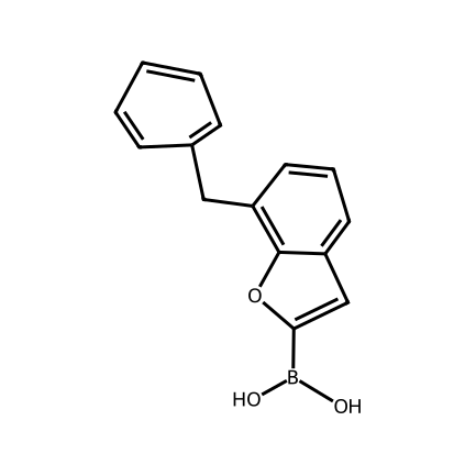 OB(O)c1cc2cccc(Cc3ccccc3)c2o1